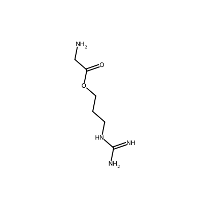 N=C(N)NCCCOC(=O)CN